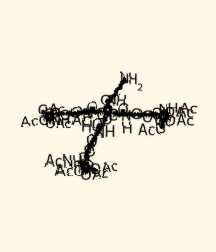 CC(=O)N[C@H]1[C@H](OCCOCCOCCNC(=O)CCO[C@@H]2[C@H](OCCC(=O)NCCOCCOCCO[C@@H]3O[C@H](COC(C)=O)[C@H](OC(C)=O)[C@H](OC(C)=O)[C@H]3NC(C)=O)C=C(C(=O)NCCCCCCN)C[C@H]2OCCC(=O)NCCOCCOCCO[C@@H]2O[C@H](COC(C)=O)[C@H](OC(C)=O)[C@H](OC(C)=O)[C@H]2NC(C)=O)O[C@H](COC(C)=O)[C@H](OC(C)=O)[C@@H]1OC(C)=O